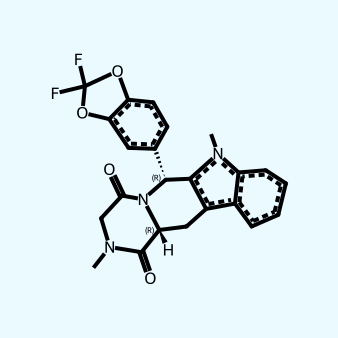 CN1CC(=O)N2[C@H](c3ccc4c(c3)OC(F)(F)O4)c3c(c4ccccc4n3C)C[C@@H]2C1=O